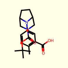 Cc1ccc(N2C3CCC2CN(C(=O)OC(C)(C)C)C3)cc1C(=O)O